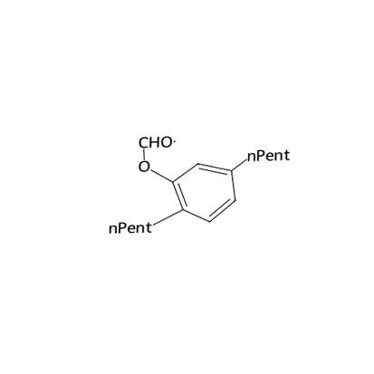 CCCCCc1ccc(CCCCC)c(O[C]=O)c1